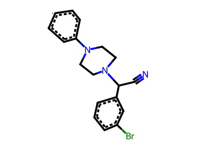 N#CC(c1cccc(Br)c1)N1CCN(c2cc[c]cc2)CC1